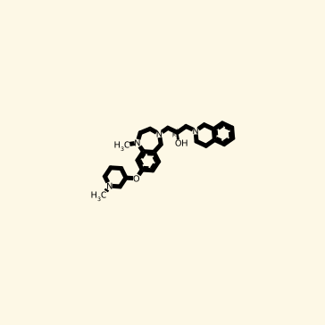 CN1CCCC(Oc2ccc3c(c2)N(C)CCN(C[C@H](O)CN2CCc4ccccc4C2)C3)C1